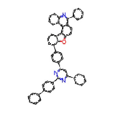 c1ccc(-c2ccc(-c3nc(-c4ccccc4)cc(-c4ccc(-c5cccc6c5oc5ccc7c(-c8ccccc8)nc8ccccc8c7c56)cc4)n3)cc2)cc1